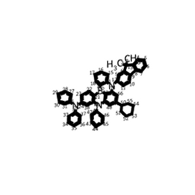 CC1(C)c2ccccc2-c2ccc(N3c4ccccc4B4c5ccc(N(c6ccccc6)c6ccccc6)cc5N(c5ccccc5)c5cc(C6CCCCC6)cc3c54)cc21